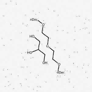 CCCCCCCCCCOCCOCCOCCCCCCCCCC.OCC(O)CO